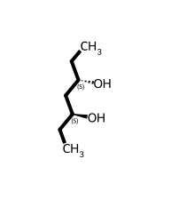 CC[C@H](O)C[C@@H](O)CC